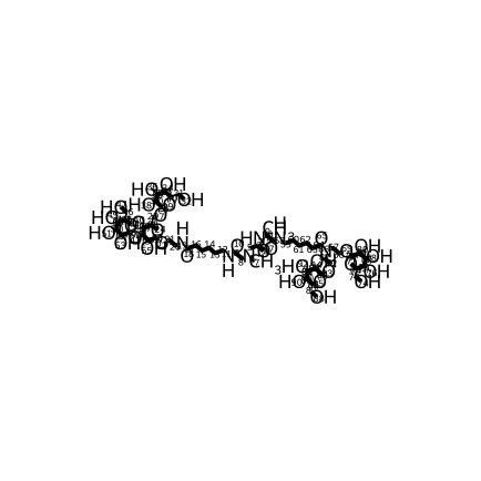 C[C@H](NC(=O)CN(C)CC(=O)NCCCCCC(=O)NCCO[C@H]1O[C@H](CO[C@H]2O[C@H](CO)[C@@H](O)[C@H](O)[C@@H]2O)[C@@H](O)[C@H](O[C@H]2O[C@H](CO)[C@@H](O)[C@H](O)[C@@H]2O)[C@@H]1O)C(=O)NCCCCCC(=O)N(CCO[C@H]1O[C@H](CO)[C@@H](O)[C@H](O)[C@@H]1O)CCO[C@H]1O[C@H](CO)[C@@H](O)[C@H](O)[C@@H]1O